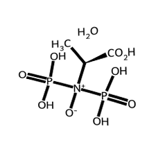 C[C@@H](C(=O)O)[N+]([O-])(P(=O)(O)O)P(=O)(O)O.O